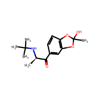 BC(B)(B)N[C@H](C)C(=O)c1ccc2c(c1)OC(B)(O)O2